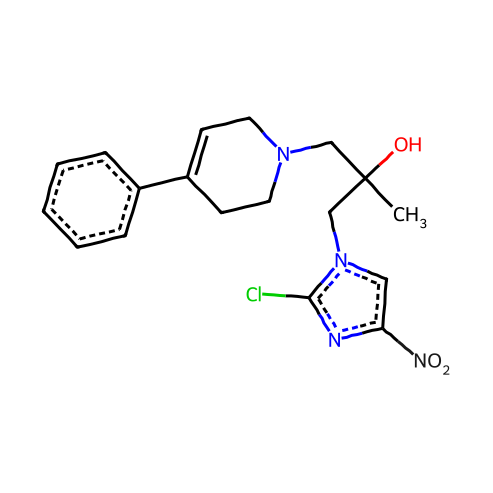 CC(O)(CN1CC=C(c2ccccc2)CC1)Cn1cc([N+](=O)[O-])nc1Cl